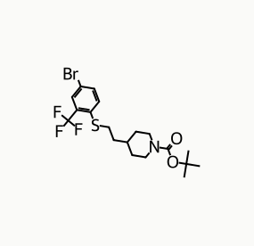 CC(C)(C)OC(=O)N1CCC(CCSc2ccc(Br)cc2C(F)(F)F)CC1